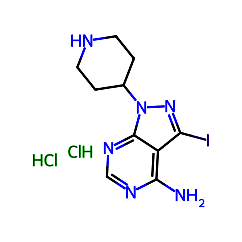 Cl.Cl.Nc1ncnc2c1c(I)nn2C1CCNCC1